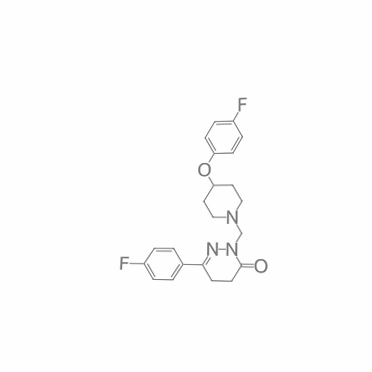 O=C1CCC(c2ccc(F)cc2)=NN1CN1CCC(Oc2ccc(F)cc2)CC1